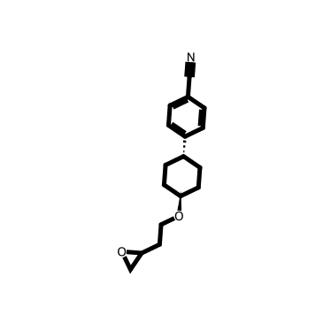 N#Cc1ccc([C@H]2CC[C@H](OCCC3CO3)CC2)cc1